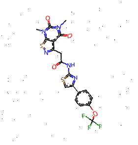 Cn1c(=O)c2c(CC(=O)Nc3nc(-c4ccc(OC(F)(F)F)cc4)cs3)nsc2n(C)c1=O